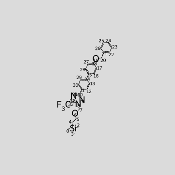 C[Si](C)(C)CCOCn1nc(-c2ccc(-c3ccc(OCc4ccccc4)cc3)cc2)nc1C(F)(F)F